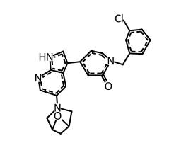 O=c1cc(-c2c[nH]c3ncc(N4CC5CC(C4)O5)cc23)ccn1Cc1cccc(Cl)c1